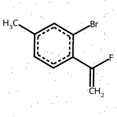 C=C(F)c1ccc(C)cc1Br